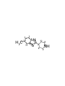 Cc1ccc2nc(C3CCNCC3)sc2c1